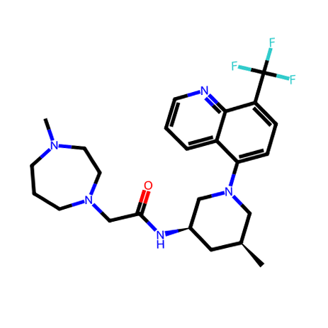 C[C@H]1C[C@@H](NC(=O)CN2CCCN(C)CC2)CN(c2ccc(C(F)(F)F)c3ncccc23)C1